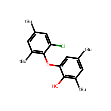 CC(C)(C)c1cc(Oc2c(Cl)cc(C(C)(C)C)cc2C(C)(C)C)c(O)c(C(C)(C)C)c1